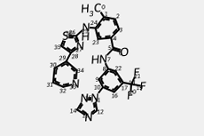 Cc1ccc(C(=O)Nc2cc(-n3cncn3)cc(C(F)(F)F)c2)cc1Nc1nc(-c2cccnc2)cs1